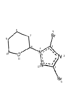 Brc1nc(Br)n(C2CCCCO2)n1